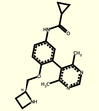 Cc1ncnc(C)c1-c1cc(NC(=O)C2CC2)ccc1OC[C@@H]1CCN1